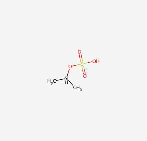 C[SiH](C)OS(=O)(=O)O